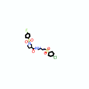 O=C(NCC/C=C/S(=O)(=O)c1ccc(Cl)cc1)C1CCN(S(=O)(=O)c2ccc(F)cc2)C1